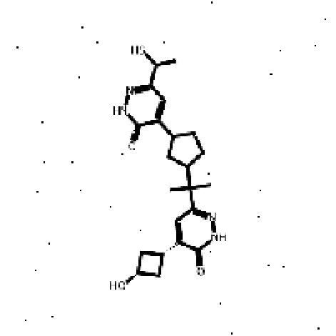 CC(S)c1cc(C2CCC(C(C)(C)c3cc([C@H]4C[C@H](O)C4)c(=O)[nH]n3)C2)c(=O)[nH]n1